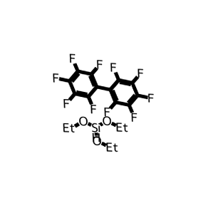 CCO[SiH](OCC)OCC.Fc1c(F)c(F)c(-c2c(F)c(F)c(F)c(F)c2F)c(F)c1F